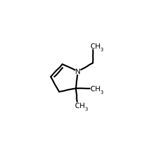 CCN1C=CCC1(C)C